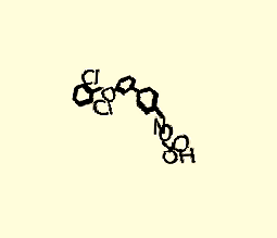 O=C(O)CON=Cc1ccc(-c2cccc(OCc3c(Cl)cccc3Cl)c2)cc1